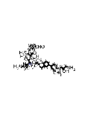 C[n+]1cc(-c2ccc3c(c2)CC[C@H]([C@](C)(O/N=C(\C(=O)N[C@@H]2C(=O)N(OS(=O)(=O)OC=O)C2(C)C)c2csc(N)n2)C(=O)O)O3)cnc1NC[C@H](O)CN